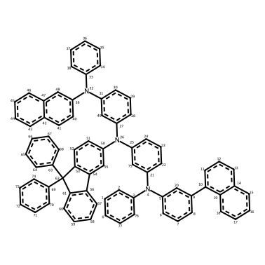 c1ccc(N(c2cccc(-c3cccc4ccccc34)c2)c2cccc(N(c3cccc(N(c4ccccc4)c4ccc5ccccc5c4)c3)c3ccc4c(c3)-c3ccccc3C4(c3ccccc3)c3ccccc3)c2)cc1